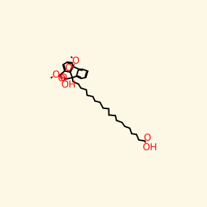 COC(=O)c1ccccc1C(CCCCCCCCCCCCCCCCCCCC(=O)O)(C(=O)O)c1ccccc1C(=O)OC